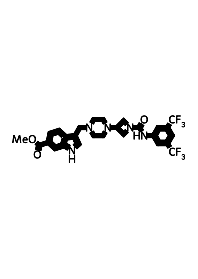 COC(=O)c1ccc2c(CN3CCN(C4CN(C(=O)Nc5cc(C(F)(F)F)cc(C(F)(F)F)c5)C4)CC3)c[nH]c2c1